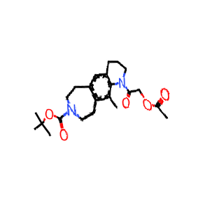 CC(=O)OCC(=O)N1CCCc2cc3c(c(C)c21)CCN(C(=O)OC(C)(C)C)CC3